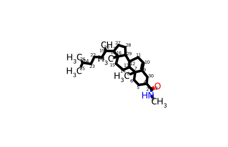 CNC(=O)C1CCC2(C)C(=CCC3C2CCC2(C)C(C(C)CCCC(C)C)CCC32)C1